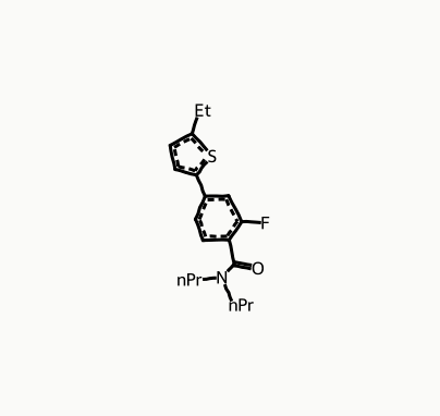 CCCN(CCC)C(=O)c1ccc(-c2ccc(CC)s2)cc1F